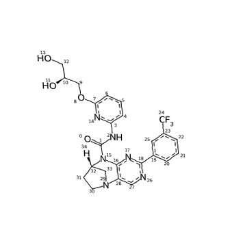 O=C(Nc1cccc(OC[C@@H](O)CO)n1)N1c2nc(-c3cccc(C(F)(F)F)c3)ncc2N2CC[C@H]1C2